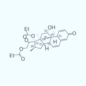 CCC(=O)OCC(=O)[C@]1(OC(=O)CC)[C@H](C)C[C@H]2[C@@H]3C=CC4=CC(=O)C=C[C@]4(C)[C@@]3(F)[C@@H](O)C[C@@]21C